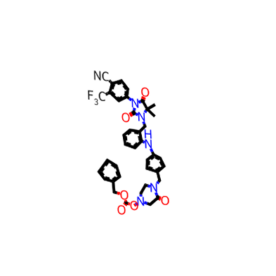 CC1(C)C(=O)N(c2ccc(C#N)c(C(F)(F)F)c2)C(=O)N1Cc1ccccc1Nc1ccc(CN2CCN(OC(=O)OCc3ccccc3)CC2=O)cc1